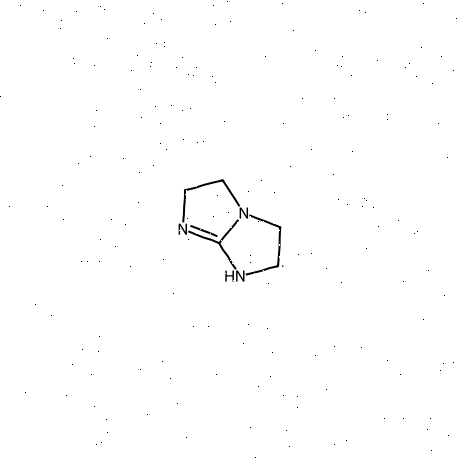 [CH]1CN2CCN=C2N1